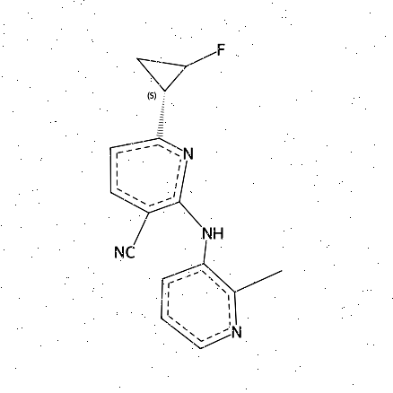 Cc1ncccc1Nc1nc([C@@H]2CC2F)ccc1C#N